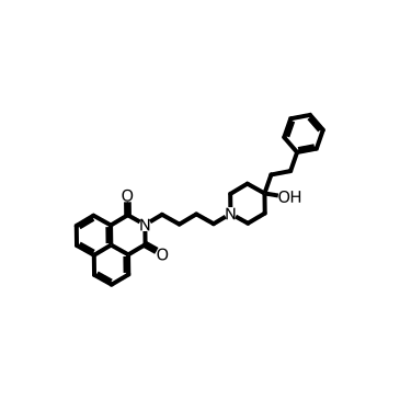 O=C1c2cccc3cccc(c23)C(=O)N1CCCCN1CCC(O)(CCc2ccccc2)CC1